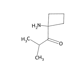 CC(C)C(=O)C1(N)CCC1